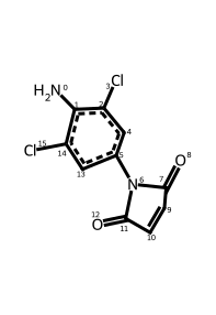 Nc1c(Cl)cc(N2C(=O)C=CC2=O)cc1Cl